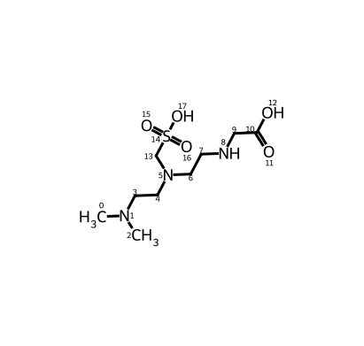 CN(C)CCN(CCNCC(=O)O)CS(=O)(=O)O